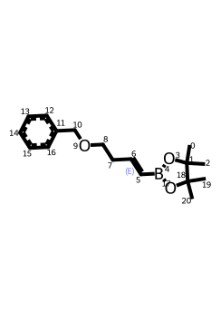 CC1(C)OB(/C=C/CCOCc2ccccc2)OC1(C)C